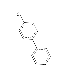 Clc1[c]cc(-c2cccc(I)c2)cc1